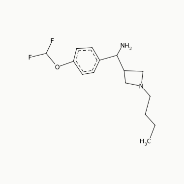 CCCCN1CC(C(N)c2ccc(OC(F)F)cc2)C1